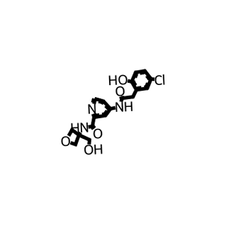 O=C(Cc1cc(Cl)ccc1O)Nc1ccnc(C(=O)NC2(CO)COC2)c1